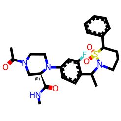 CNC(=O)[C@H]1CN(C(C)=O)CCN1c1ccc(C(C)N2CCCC(c3ccccc3)S2(=O)=O)c(F)c1